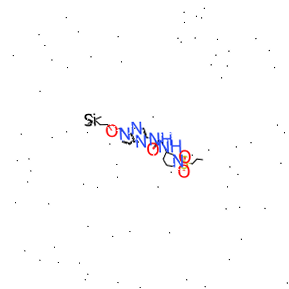 CCCS(=O)(=O)N1CCC[C@@H](NC(=O)Nc2cnc3c(ccn3COCC[Si](C)(C)C)n2)C1